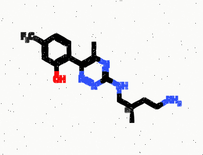 Cc1nc(NC[C@H](C)CCN)nnc1-c1ccc(C(F)(F)F)cc1O